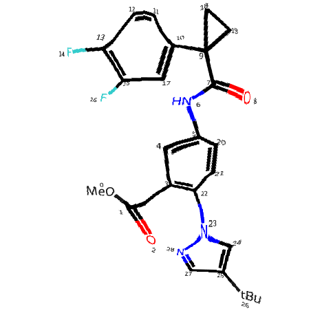 COC(=O)c1cc(NC(=O)C2(c3ccc(F)c(F)c3)CC2)ccc1-n1cc(C(C)(C)C)cn1